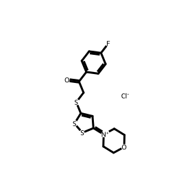 O=C(CSc1cc(=[N+]2CCOCC2)ss1)c1ccc(F)cc1.[Cl-]